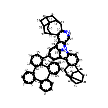 c1ccc2c(c1)-c1ccccc1-c1cccc(-c3cc4c5c6c(ccc5n5c7cnc8c(c7c(c3)c45)C3CC4CC5CC8CC54C3)C3CC4CC(C3)CC6C4)c1-c1ccccc1-2